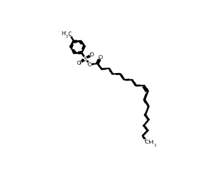 CCCCCCCC/C=C\CCCCCCCC(=O)OS(=O)(=O)c1ccc(C)cc1